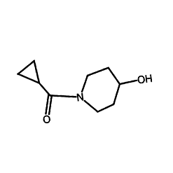 O=C(C1CC1)N1CCC(O)CC1